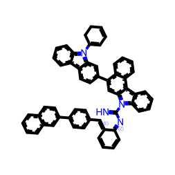 N=C(/N=C1/C=CC=C/C1=C\c1ccc(-c2ccc3ccccc3c2)cc1)n1c2ccccc2c2c3ccccc3c(-c3ccc4c5ccccc5n(C5=CC=CCC5)c4c3)cc21